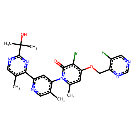 Cc1cnc(-c2nc(C(C)(C)O)ncc2C)cc1-n1c(C)cc(OCc2ncncc2F)c(Br)c1=O